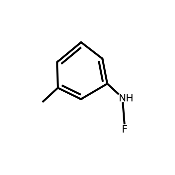 Cc1cccc(NF)c1